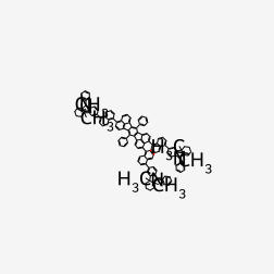 CC12CCCCC1(C)N(c1ccccc1)c1ccc(-c3cccc4c(-c5ccc6c7c(-c8ccccc8)c8c9ccc(-c%10cccc%11c(-c%12ccc%13c(c%12)C%12(C)CCCCC%12(C)N%13c%12ccccc%12)cccc%10%11)c%10c(-c%11cccc%12c(-c%13ccc%14c(c%13)C%13(C)CCCCC%13(C)N%14c%13ccccc%13)cccc%11%12)ccc(c8c(-c8ccccc8)c7c7cccc5c76)c%109)cccc34)cc12